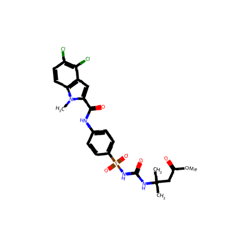 COC(=O)CC(C)(C)NC(=O)NS(=O)(=O)c1ccc(NC(=O)c2cc3c(Cl)c(Cl)ccc3n2C)cc1